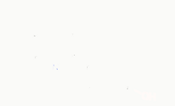 Cc1ccc(-c2ccc(O)cc2)nc1